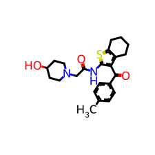 Cc1ccc(C(=O)c2c(NC(=O)CN3CCC(O)CC3)sc3c2CCCC3)cc1